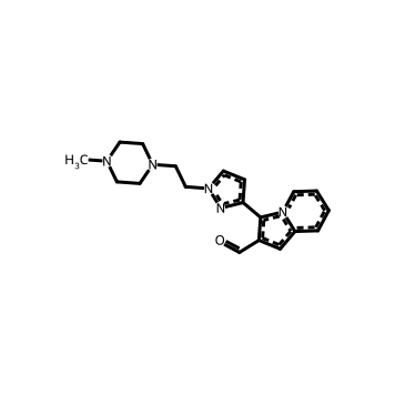 CN1CCN(CCn2ccc(-c3c(C=O)cc4ccccn34)n2)CC1